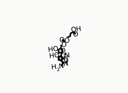 N#C[C@@]1(c2ccc3c(N)ncnn23)OC(COC(=O)OCCCC(=O)O)[C@@H](O)[C@H]1O